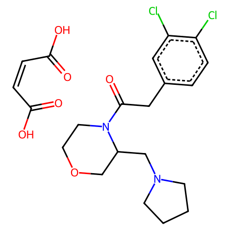 O=C(Cc1ccc(Cl)c(Cl)c1)N1CCOCC1CN1CCCC1.O=C(O)/C=C\C(=O)O